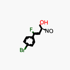 O=N[C@@H](/C=C(\F)c1ccc(Br)cc1)CO